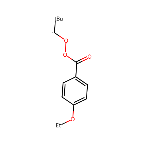 CCOc1ccc(C(=O)OO[CH]C(C)(C)C)cc1